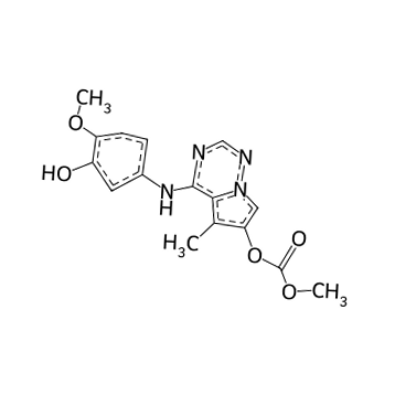 COC(=O)Oc1cn2ncnc(Nc3ccc(OC)c(O)c3)c2c1C